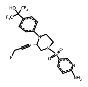 Nc1ccc(S(=O)(=O)N2CCN(c3ccc(C(O)(C(F)(F)F)C(F)(F)F)cc3)[C@@H](C#CCF)C2)cn1